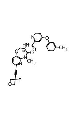 Cc1cccc(Oc2ccnc(C(=O)N[C@H]3COc4ccc(C#CC5(F)COC5)nc4N(C)C3=O)c2)c1